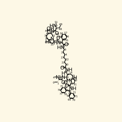 CC[C@H](NC)C(=O)N[C@@H]1C(=O)N2[C@@H](CC[C@@H]1CNC(=O)CCCCCCCNC(=O)[C@@H](NC(=O)[C@@H]1CC[C@@H]3CC[C@H](CO)[C@H](NC(=O)[C@H](CC)NC)CN31)c1ccccc1)CC[C@H]2C(=O)NC(c1ccccc1)c1ccccc1